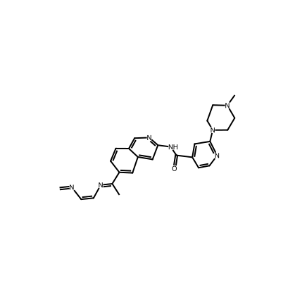 C=N/C=C\N=C(/C)c1ccc2cnc(NC(=O)c3ccnc(N4CCN(C)CC4)c3)cc2c1